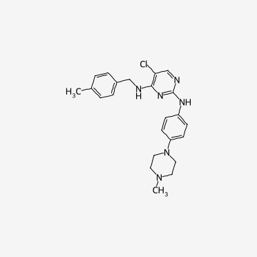 Cc1ccc(CNc2nc(Nc3ccc(N4CCN(C)CC4)cc3)ncc2Cl)cc1